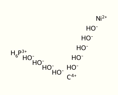 [C+4].[Ni+2].[OH-].[OH-].[OH-].[OH-].[OH-].[OH-].[OH-].[OH-].[OH-].[PH6+3]